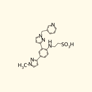 Cn1ccc(-c2ccc(NCCS(=O)(=O)O)c(-c3ccn(Cc4cccnc4)n3)c2)n1